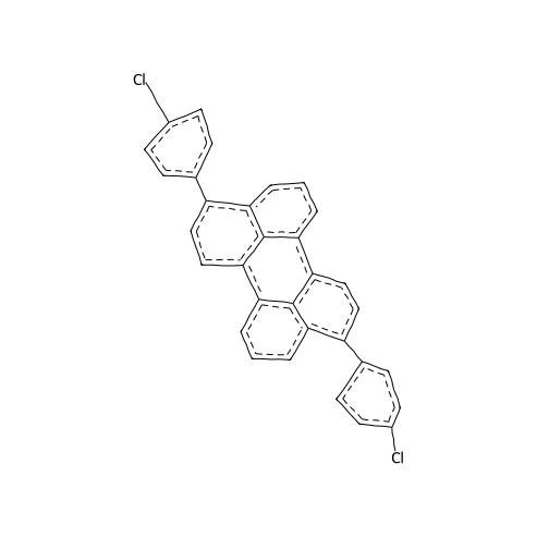 Clc1ccc(-c2ccc3c4cccc5c(-c6ccc(Cl)cc6)ccc(c6cccc2c63)c54)cc1